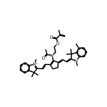 C=C(C)C(=O)OCCN(C(C)=O)C1=C(/C=C/C2=[N+](C)c3ccccc3C2(C)C)CC/C1=C\C=C1\N(C)c2cccc(C)c2C1(C)C